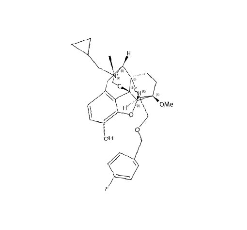 CO[C@]12CC[C@@]3(C[C@@H]1COCc1ccc(F)cc1)[C@H]1Cc4ccc(O)c5c4[C@@]3(CC[N@+]1(C)CC1CC1)[C@H]2O5